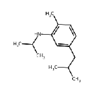 Cc1ccc(CC(C)C)cc1NC(C)C